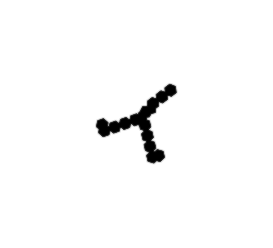 c1ccc(-c2ccc(-c3ccc4c(c3)Cc3cc(-n5c6ccc(-c7ccc(-c8ccc(-c9cccc%10ccccc9%10)cc8)cc7)cc6c6cc(-c7ccc(-c8ccc(-c9cccc%10ccccc9%10)cc8)cc7)ccc65)ccc3-4)cc2)cc1